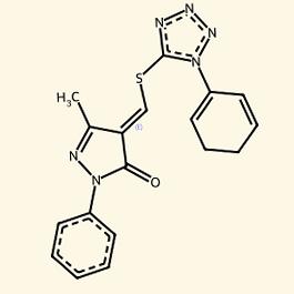 CC1=NN(c2ccccc2)C(=O)/C1=C/Sc1nnnn1C1=CCCC=C1